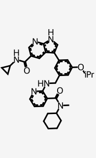 CC(C)Oc1cc(CNc2ncccc2C(=O)N(C)C2CCCCC2)cc(-c2c[nH]c3ncc(C(=O)NC4CC4)cc23)c1